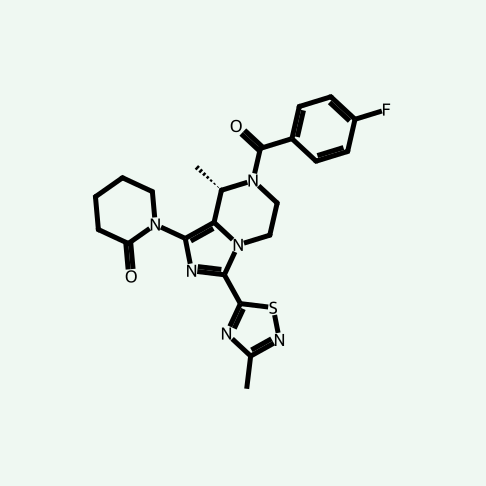 Cc1nsc(-c2nc(N3CCCCC3=O)c3n2CCN(C(=O)c2ccc(F)cc2)[C@H]3C)n1